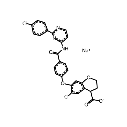 O=C(Nc1ccnc(-c2ccc(Cl)cc2)n1)c1ccc(Oc2cc3c(cc2Cl)C(C(=O)[O-])CCO3)cc1.[Na+]